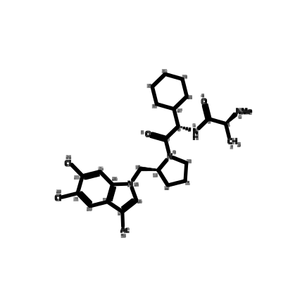 CN[C@@H](C)C(=O)N[C@H](C(=O)N1CCC[C@H]1Cn1cc(C(C)=O)c2cc(Cl)c(Cl)cc21)C1CCCCC1